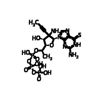 CC#CC1(N)[C@@H](O)[C@@H]([C@@H](C)OP(=O)(O)OP(=O)(O)OP(=O)(O)O)O[C@H]1n1cnc2c(=S)[nH]c(N)nc21